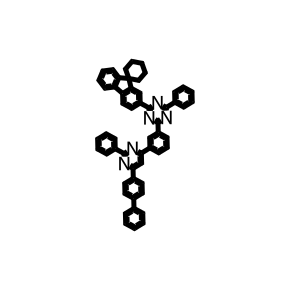 c1ccc(-c2ccc(-c3cc(-c4cccc(-c5nc(-c6ccccc6)nc(-c6ccc7c(c6)C6(CCCCC6)c6ccccc6-7)n5)c4)nc(-c4ccccc4)n3)cc2)cc1